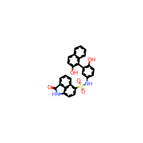 O=C1Nc2ccc(S(=O)(=O)Nc3ccc(O)c(-c4c(O)ccc5ccccc45)c3)c3cccc1c23